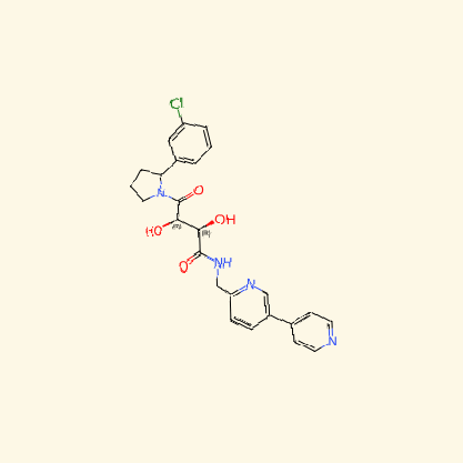 O=C(NCc1ccc(-c2ccncc2)cn1)[C@H](O)[C@@H](O)C(=O)N1CCCC1c1cccc(Cl)c1